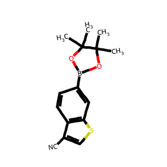 CC1(C)OB(c2ccc3c(C#N)csc3c2)OC1(C)C